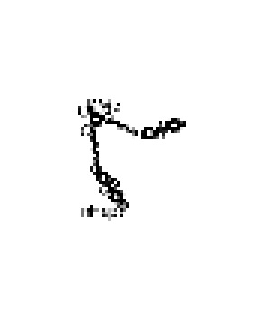 CCCCCCCOc1ccc(S(=O)(=O)c2ccc(OCCCCCCOC(=O)c3cc(OCCCCCCOc4ccc(/N=N/c5ccc(C)cc5)cc4)cc(C(=O)OC)c3)cc2)cc1